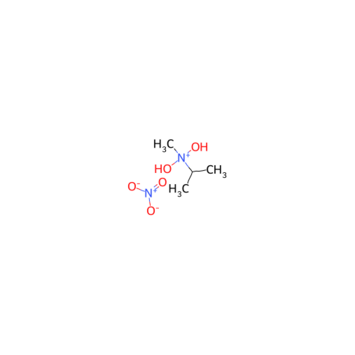 CC(C)[N+](C)(O)O.O=[N+]([O-])[O-]